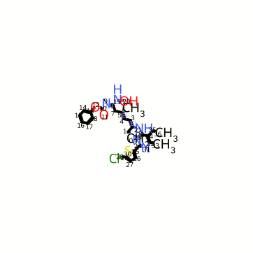 C=C/C(=C\C=C(/C)C/C(=N\C(=O)Oc1ccccc1)NO)Nc1nc(-c2ccc(Cl)s2)nc(C)c1CC